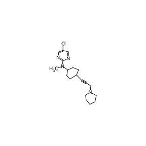 CN(c1ncc(Cl)cn1)C1CCC(C#CCN2CCCCC2)CC1